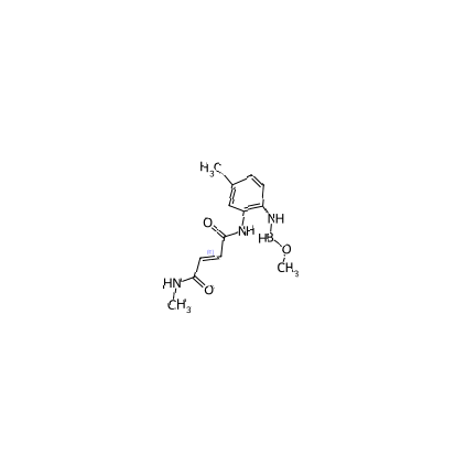 CNC(=O)/C=C/C(=O)Nc1cc(C)ccc1NBOC